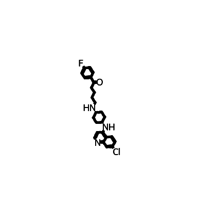 O=C(CCCCN[C@H]1CC[C@@H](Nc2ccnc3cc(Cl)ccc23)CC1)c1ccc(F)cc1